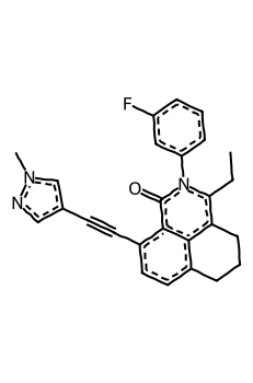 CCc1c2c3c(ccc(C#Cc4cnn(C)c4)c3c(=O)n1-c1cccc(F)c1)CCC2